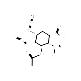 CC(=O)O[C@H]1[C@H](N=[N+]=[N-])[C@@H](N=[N+]=[N-])C[C@H](C(=O)O)[C@H]1[N+](=O)[O-]